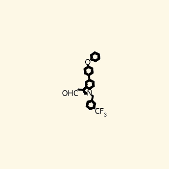 O=CCc1cn(Cc2cccc(C(F)(F)F)c2)c2ccc(-c3ccc(Oc4ccccc4)cc3)cc12